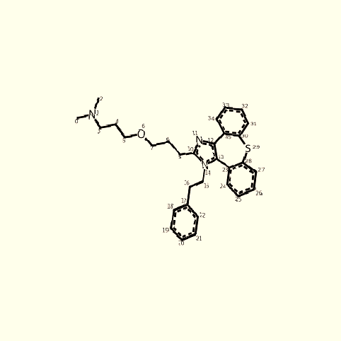 CN(C)CCCOCCCc1nc2c(n1CCc1ccccc1)-c1ccccc1Sc1ccccc1-2